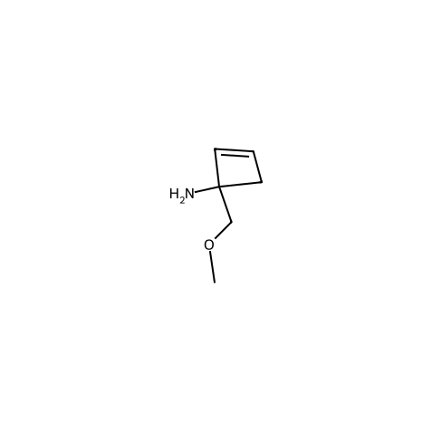 COCC1(N)C=CC1